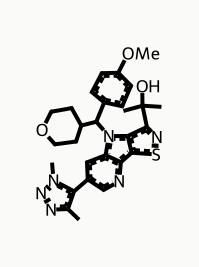 COc1ccc(C(C2CCOCC2)n2c3cc(-c4c(C)nnn4C)cnc3c3snc(C(C)(C)O)c32)cc1